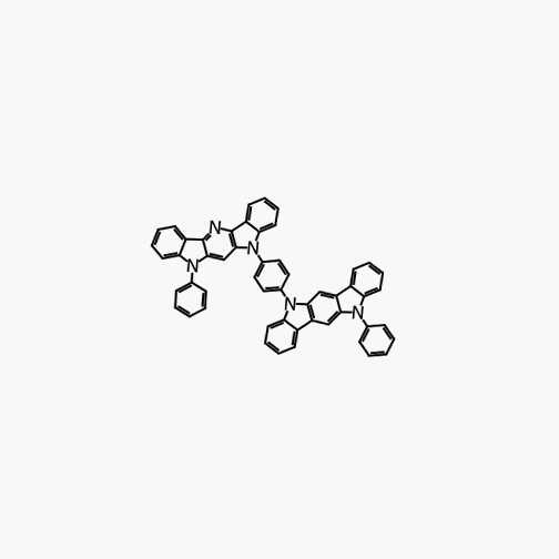 c1ccc(-n2c3ccccc3c3cc4c(cc32)c2ccccc2n4-c2ccc(-n3c4ccccc4c4nc5c6ccccc6n(-c6ccccc6)c5cc43)cc2)cc1